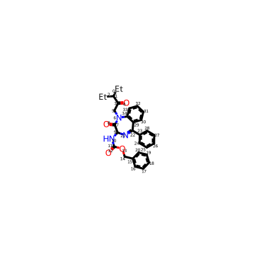 CCC(CC)C(=O)CN1C(=O)C(NC(=O)OCc2ccccc2)N=C(c2ccccc2)c2ccccc21